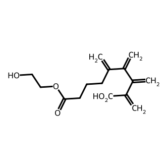 C=C(CCCC(=O)OCCO)C(=C)C(=C)C(=C)C(=O)O